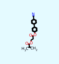 C=C(C)C(=O)OCCC(=O)Oc1ccc(-c2ccc(C#N)cc2)cc1